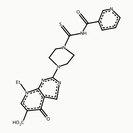 CCn1cc(C(=O)O)c(=O)c2cnc(N3CCN(C(=S)NC(=O)c4cccnc4)CC3)nc21